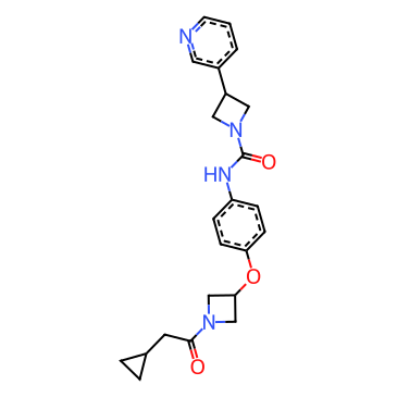 O=C(CC1CC1)N1CC(Oc2ccc(NC(=O)N3CC(c4cccnc4)C3)cc2)C1